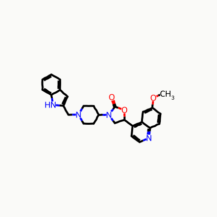 COc1ccc2nccc(C3CN(C4CCN(Cc5cc6ccccc6[nH]5)CC4)C(=O)O3)c2c1